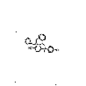 CC(CCCN(Cc1ccccc1)Cc1ccccc1)(c1ccc(O)cc1)c1ccc(O)cc1